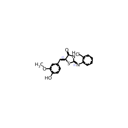 COc1cc(/C=C2\S/C(=N/c3ccccc3Cl)NC2=O)ccc1O